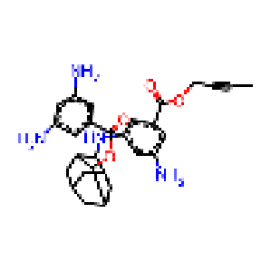 CC#CCOC(=O)c1cc(N)cc(NC2C3CC4CC(C3)C(OC(=O)c3cc(N)cc(N)c3)C2C4)c1